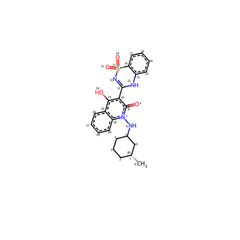 C[C@@H]1CCCC(Nn2c(=O)c(C3=NS(=O)(=O)c4ccccc4N3)c(O)c3ccccc32)C1